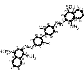 Cc1cc(N=Nc2cc(S(=O)(=O)O)c3ccccc3c2N)ccc1-c1ccc(N=Nc2cc(S(=O)(=O)O)c3ccccc3c2N)cc1C